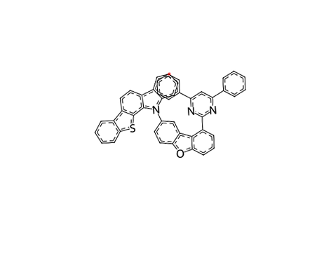 c1ccc(-c2cc(-c3ccccc3)nc(-c3cccc4oc5ccc(-n6c7ccccc7c7ccc8c9ccccc9sc8c76)cc5c34)n2)cc1